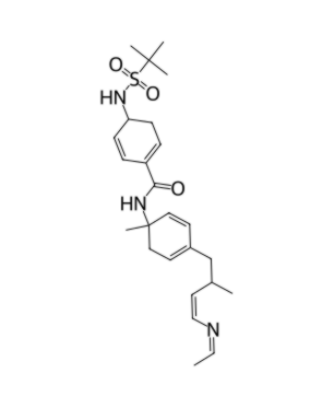 C/C=N\C=C/C(C)CC1=CCC(C)(NC(=O)C2=CCC(NS(=O)(=O)C(C)(C)C)C=C2)C=C1